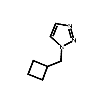 c1cn(CC2CCC2)nn1